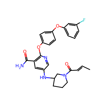 CC=CC(=O)N1CCCC(Nc2cnc(Oc3ccc(Oc4cccc(F)c4)cc3)c(C(N)=O)c2)C1